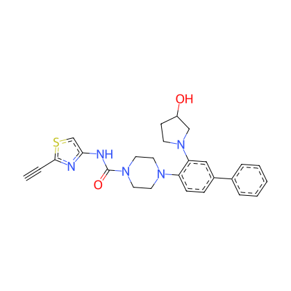 C#Cc1nc(NC(=O)N2CCN(c3ccc(-c4ccccc4)cc3N3CCC(O)C3)CC2)cs1